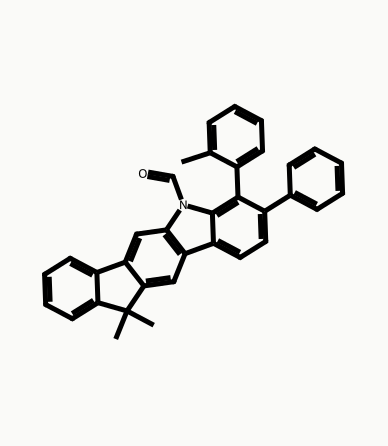 Cc1ccccc1-c1c(-c2ccccc2)ccc2c3cc4c(cc3n(C=O)c12)-c1ccccc1C4(C)C